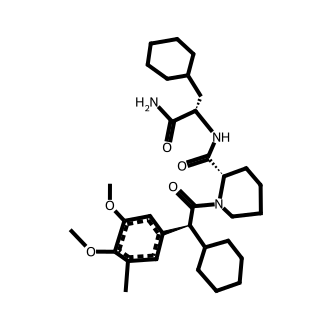 COc1cc([C@@H](C(=O)N2CCCC[C@H]2C(=O)N[C@@H](CC2CCCCC2)C(N)=O)C2CCCCC2)cc(C)c1OC